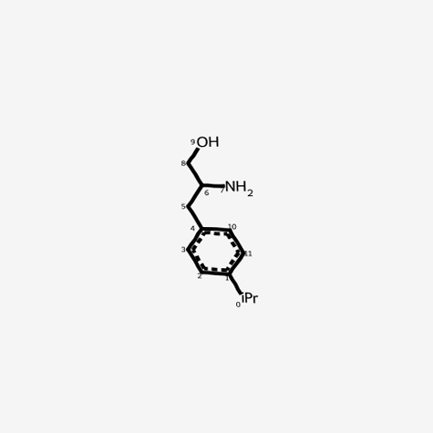 CC(C)c1ccc(CC(N)CO)cc1